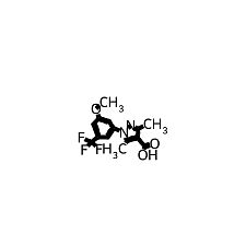 COc1cc(-n2nc(C)c(C(=O)O)c2C)cc(C(F)(F)F)c1